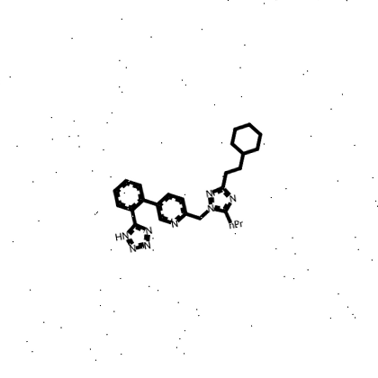 CCCc1nc(CCC2CCCCC2)nn1Cc1ccc(-c2ccccc2-c2nnn[nH]2)cn1